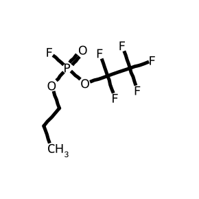 CCCOP(=O)(F)OC(F)(F)C(F)(F)F